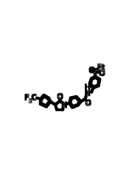 CCS(=O)(=O)c1ccc(CNC(=O)c2ccc(N3CCC(c4ccc(C(F)(F)F)cc4)C3=O)cc2)cc1